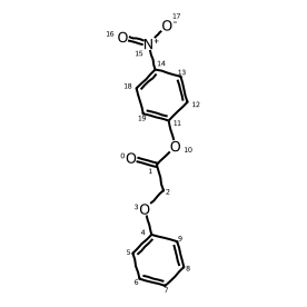 O=C(COc1ccccc1)Oc1ccc([N+](=O)[O-])cc1